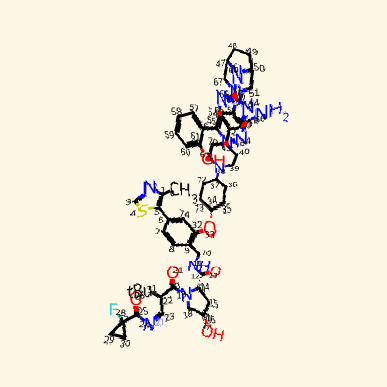 Cc1ncsc1-c1ccc(CNC(=O)[C@@H]2C[C@@H](O)CN2C(=O)C(/C=N\C(=O)C2(F)CC2)C(C)(C)C)c(O[C@H]2CC[C@H](N3CCC(c4cnc(N5C6CCC5CN(c5cc(-c7ccccc7O)nnc5N)C6)nc4)CC3)CC2)c1